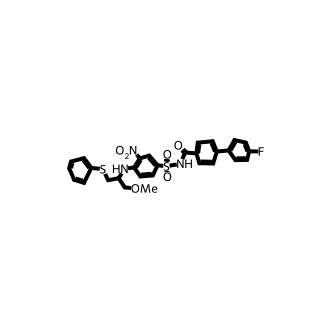 COCC(CSc1ccccc1)Nc1ccc(S(=O)(=O)NC(=O)c2ccc(-c3ccc(F)cc3)cc2)cc1[N+](=O)[O-]